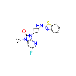 O=c1n(C2CC2)c2cc(F)cnc2n1C1CC(Nc2nc3ccccc3s2)C1